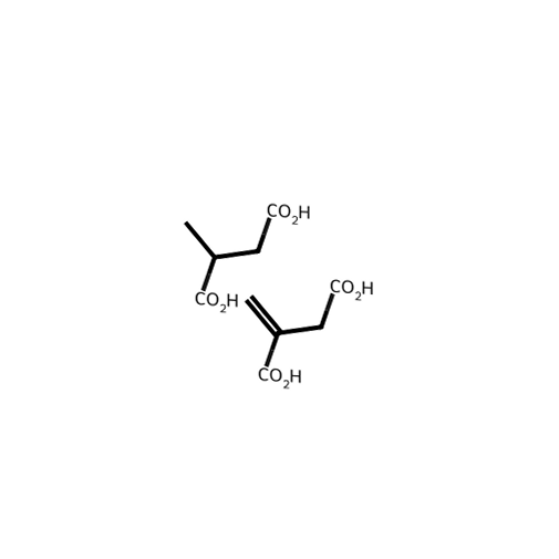 C=C(CC(=O)O)C(=O)O.CC(CC(=O)O)C(=O)O